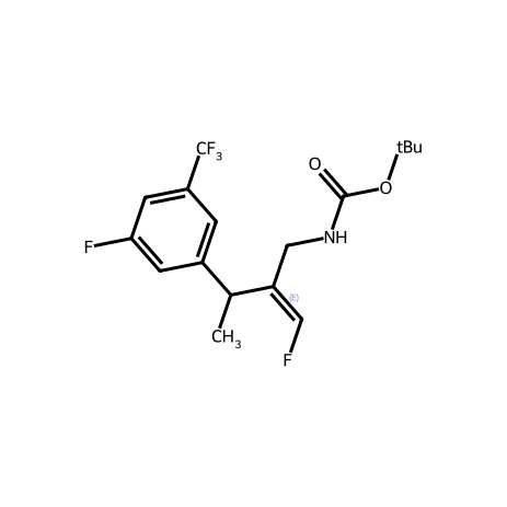 CC(/C(=C\F)CNC(=O)OC(C)(C)C)c1cc(F)cc(C(F)(F)F)c1